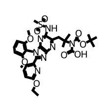 CCOc1cccc(-c2nc3nc(CC(C)(C)N(C(=O)O)C(=O)OC(C)(C)C)c(NS(C)(=O)=O)nc3n2-c2c(OC)cccc2OC)n1